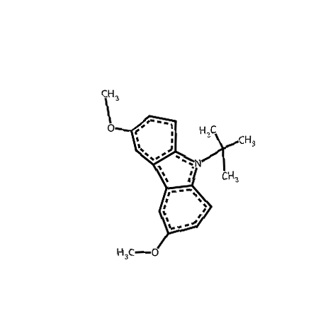 COc1ccc2c(c1)c1cc(OC)ccc1n2C(C)(C)C